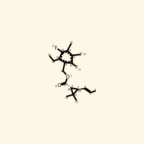 CC=C[C@@H]1[C@@H](C(=O)OCc2c(F)c(F)c(C)c(F)c2CC)C1(C)C